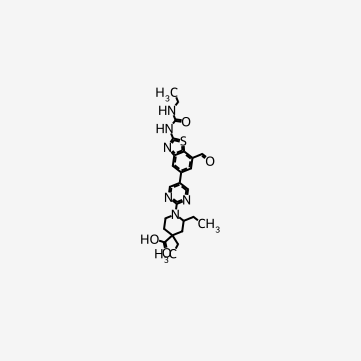 CCNC(=O)Nc1nc2cc(-c3cnc(N4CCC(CC)(C(=O)O)CC4CC)nc3)cc(C=O)c2s1